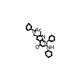 CC(=O)N(Cc1cc2c(=O)cc(Nc3ccccc3)n(-c3ccccc3)c2nc1C)c1ccccc1